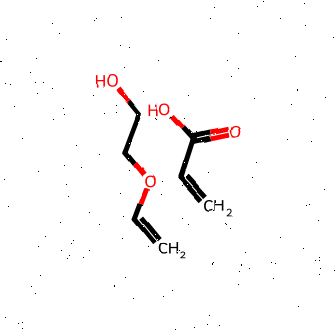 C=CC(=O)O.C=COCCO